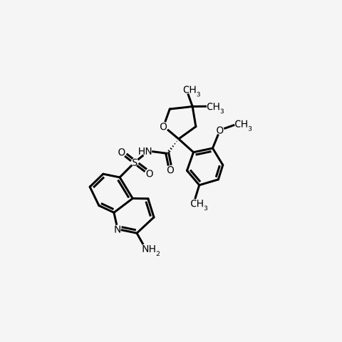 COc1ccc(C)cc1[C@]1(C(=O)NS(=O)(=O)c2cccc3nc(N)ccc23)CC(C)(C)CO1